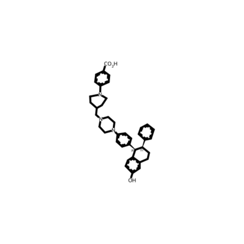 O=C(O)c1ccc(N2CCC(CN3CCN(c4ccc([C@@H]5c6ccc(O)cc6CC[C@@H]5c5ccccc5)cc4)CC3)CC2)cc1